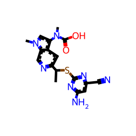 CC(Sc1nc(N)cc(C#N)n1)c1cc2c(N(C)C(=O)O)cn(C)c2cn1